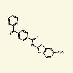 COc1ccc2nc(NC(=O)c3ccc(C(=O)c4ccccn4)cc3)sc2c1